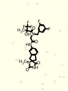 CN1C(=O)NC(=O)C12Cc1ccc(NC(=O)CN(Cc3cc(F)cc(F)c3)C(=O)C(C)(O)C(F)(F)F)cc1C2